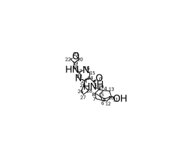 O=C(N[C@H]1C2CC3CC1C[C@@](O)(C3)C2)c1cnc(NC2COC2)nc1C1CCC1